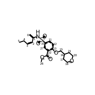 C=C(/C=C\CC)NS(=O)(=O)c1ccc(OCC2CCOCC2)c(C(=O)OC)c1